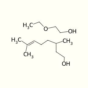 CC(C)=CCCC(C)CCO.CCOCCO